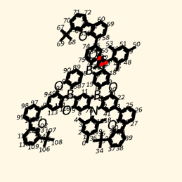 Cc1cc(C)c(N2c3cc4c(cc3B3c5cc6c(cc5Oc5cc(-c7cccc8c7oc7c(C(C)(C)C)cccc78)cc2c53)N(c2c(C)cc(C)cc2C)c2cc(-c3cccc5c3oc3c(C(C)(C)C)cccc35)cc3c2B6c2ccccc2O3)B2c3ccccc3Oc3cc(-c5cccc6c5oc5c(C(C)(C)C)cccc56)cc(c32)O4)c(C)c1